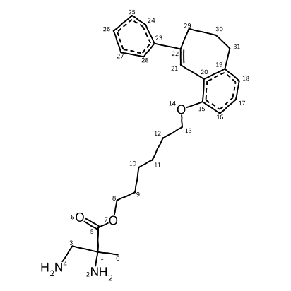 CC(N)(CN)C(=O)OCCCCCCOc1cccc2c1C=C(c1ccccc1)CCC2